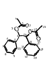 CC(=O)O[C](c1ccccc1)C(OC(C)=O)c1ccccc1